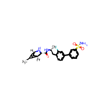 CC1C2C1[C@H]1C[C@@H]2N[C@@H]1C(=O)N[C@H](C#N)Cc1ccc(-c2cccc(S(N)(=O)=O)c2)cc1F